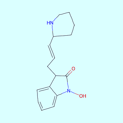 O=C1C(CC=CC2CCCCN2)c2ccccc2N1O